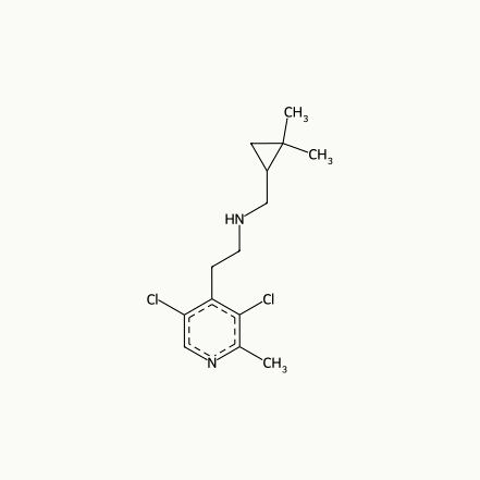 Cc1ncc(Cl)c(CCNCC2CC2(C)C)c1Cl